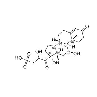 C[C@]12CCC(=O)C=C1CC[C@@H]1[C@@H]2[C@@H](O)C[C@@]2(C)[C@H]1CC[C@]2(O)C(=O)C(O)CS(=O)(=O)O